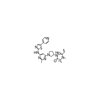 C=CC(=O)N(C)[C@@H](C)C(=O)NC1CCN(c2cc(Nc3ncc(-c4ccncc4)s3)nc(C)n2)C1